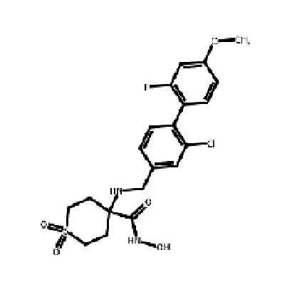 COc1ccc(-c2ccc(CNC3(C(=O)NO)CCS(=O)(=O)CC3)cc2Cl)c(F)c1